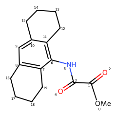 COC(=O)C(=O)Nc1c2c(cc3c1CCCC3)CCCC2